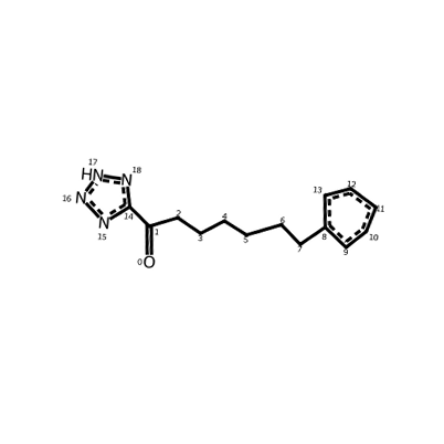 O=C(CCCCCCc1ccccc1)c1nn[nH]n1